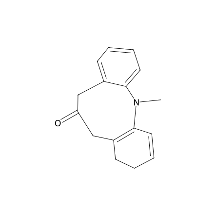 CN1C2=C(CCC=C2)CC(=O)Cc2ccccc21